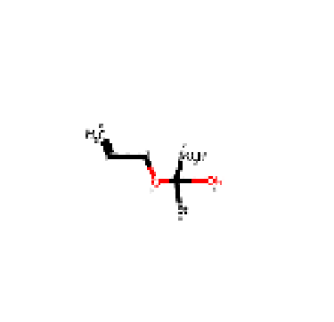 C=CCOC(O)(CC)S(=O)(=O)O